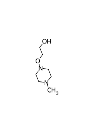 CN1CCN(OCCO)CC1